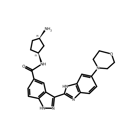 N[C@@H]1CC[C@H](NC(=O)c2ccc3[nH]nc(-c4nc5ccc(N6CCOCC6)cc5[nH]4)c3c2)C1